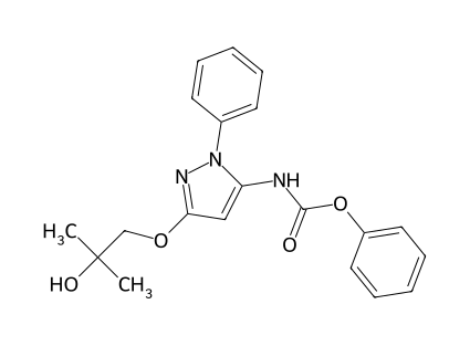 CC(C)(O)COc1cc(NC(=O)Oc2ccccc2)n(-c2ccccc2)n1